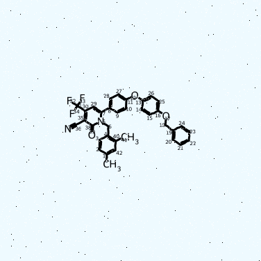 Cc1ccc(Cn2c(-c3ccc(Oc4ccc(OCc5ccccc5)cc4)cc3)cc(C(F)(F)F)c(C#N)c2=O)c(C)c1